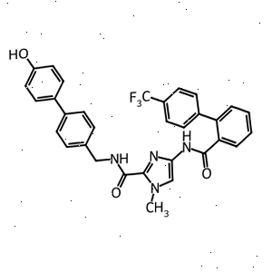 Cn1cc(NC(=O)c2ccccc2-c2ccc(C(F)(F)F)cc2)nc1C(=O)NCc1ccc(-c2ccc(O)cc2)cc1